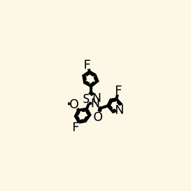 COc1cc(F)ccc1C1SC(c2ccc(F)cc2)=NN1C(=O)c1cncc(F)c1